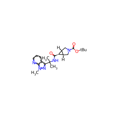 Cn1nc(C(C)(C)NC(=O)[C@H]2[C@@H]3CN(C(=O)OC(C)(C)C)C[C@@H]32)c2cccnc21